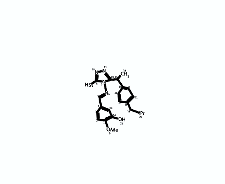 COc1ccc(C=Nn2c(S)nnc2C(C)c2ccc(CC(C)C)cc2)cc1O